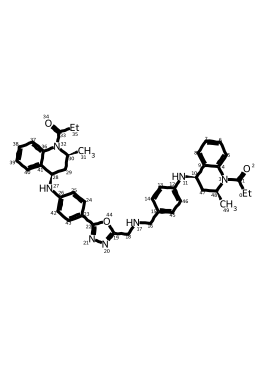 CCC(=O)N1c2ccccc2[C@H](Nc2ccc(CNCc3nnc(-c4ccc(N[C@@H]5C[C@H](C)N(C(=O)CC)c6ccccc65)cc4)o3)cc2)C[C@@H]1C